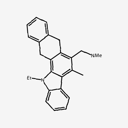 CCn1c2ccccc2c2c(C)c(CNC)c3c(c21)Cc1ccccc1C3